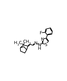 CC1(C)C(=CC=NNc2nc(-c3ccccc3F)cs2)C2CCC1C2